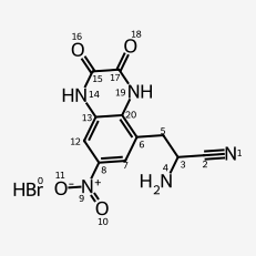 Br.N#CC(N)Cc1cc([N+](=O)[O-])cc2[nH]c(=O)c(=O)[nH]c12